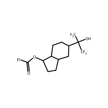 CCC(=O)OC1CCC2CC(C(O)(C(F)(F)F)C(F)(F)F)CCC21